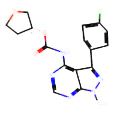 CC(C)(C)n1nc(-c2ccc(Cl)cc2)c2c(NC(=O)O[C@@H]3CCOC3)ncnc21